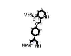 CN/C=C(\C=N)[C@H]1CC[C@@H](OC[C@@H]2NCCCC2NSC)CC1